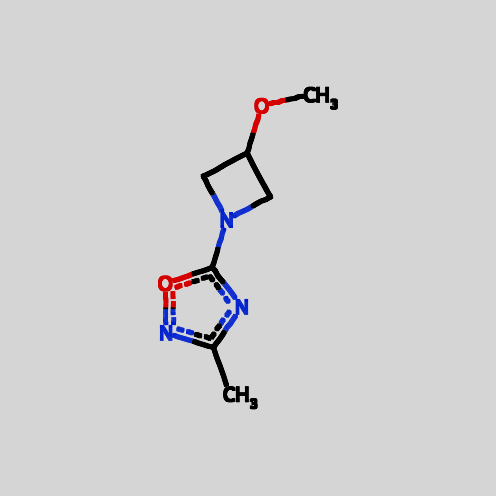 COC1CN(c2nc(C)no2)C1